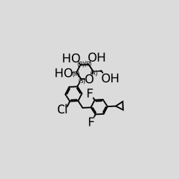 OC[C@H]1O[C@@H](c2ccc(Cl)c(Cc3c(F)cc(C4CC4)cc3F)c2)[C@H](O)[C@@H](O)[C@@H]1O